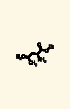 C=C(C)CC(N)C(=O)OCC